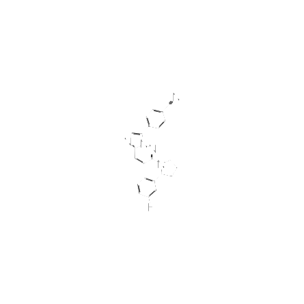 N#Cc1ccc(-c2cnc3ccc(N4CCCC4c4cccc(F)c4)nn23)cc1